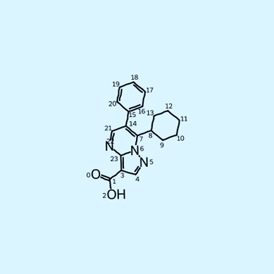 O=C(O)c1cnn2c(C3CCCCC3)c(-c3ccccc3)cnc12